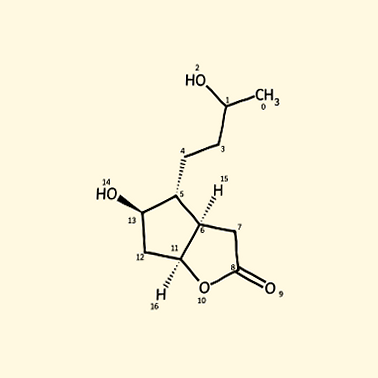 CC(O)CC[C@@H]1[C@H]2CC(=O)O[C@H]2C[C@H]1O